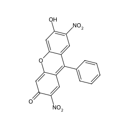 O=c1cc2oc3cc(O)c([N+](=O)[O-])cc3c(-c3ccccc3)c-2cc1[N+](=O)[O-]